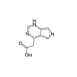 O=C(O)Cc1nc[nH]c2cncc1-2